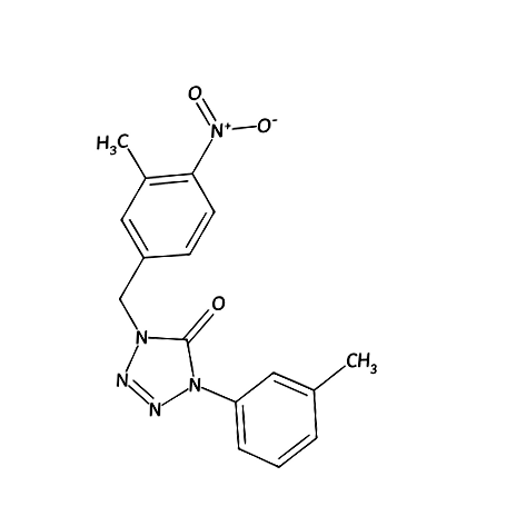 Cc1cccc(-n2nnn(Cc3ccc([N+](=O)[O-])c(C)c3)c2=O)c1